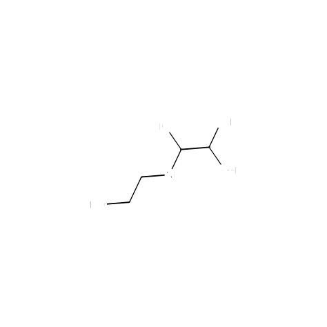 CC(O)C(O)NCCO